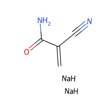 C=C(C#N)C(N)=O.[NaH].[NaH]